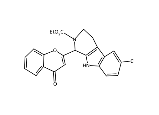 CCOC(=O)N1CCc2c([nH]c3ccc(Cl)cc23)C1c1cc(=O)c2ccccc2o1